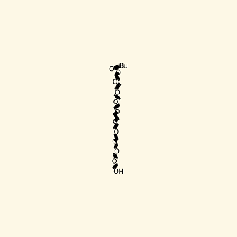 CCC(C)C(=O)OCCOCCOCCOCCOCCOCCOCCOCCOCCOCCO